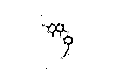 C=CCCc1ccc(Oc2ccc3c(c2F)C(=O)OC(CC)C3)cc1